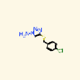 Nn1cc(SCc2ccc(Cl)cc2)nn1